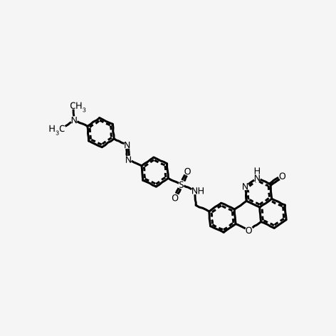 CN(C)c1ccc(N=Nc2ccc(S(=O)(=O)NCc3ccc4c(c3)-c3n[nH]c(=O)c5cccc(c35)O4)cc2)cc1